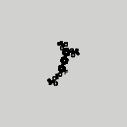 C=C(C)C(=O)OCCOc1ccc(-c2ccc(-c3cc(OC(=O)C(=C)C)cc(OC(=O)C(=C)C)c3)cc2)cc1F